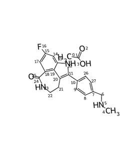 CC(=O)O.CNCc1ccc(-c2[nH]c3cc(F)cc4c3c2CCNC4=O)cc1